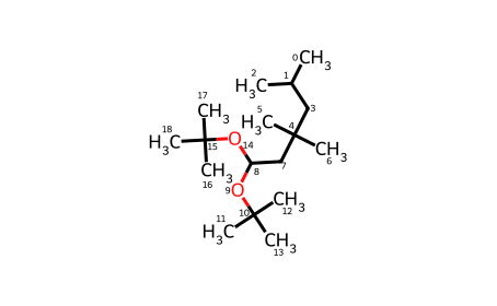 CC(C)CC(C)(C)CC(OC(C)(C)C)OC(C)(C)C